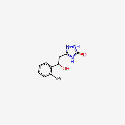 CC(C)c1ccccc1C(O)Cc1n[nH]c(=O)[nH]1